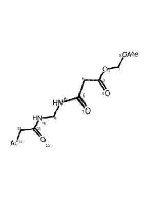 COCOC(=O)CC(=O)NCNC(=O)CC(C)=O